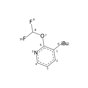 CCC(C)c1cccnc1OC(F)F